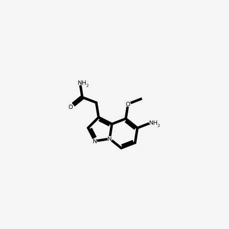 COc1c(N)ccn2ncc(CC(N)=O)c12